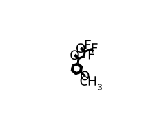 COc1cccc(C(=O)CC(=O)C(F)(F)F)c1